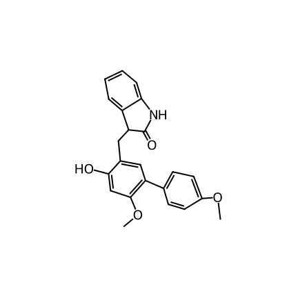 COc1ccc(-c2cc(CC3C(=O)Nc4ccccc43)c(O)cc2OC)cc1